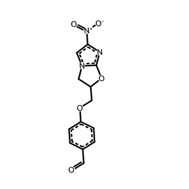 O=Cc1ccc(OCC2Cn3cc([N+](=O)[O-])nc3O2)cc1